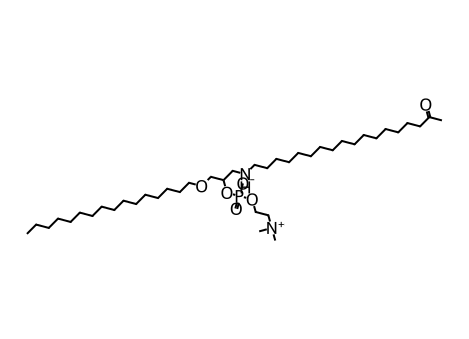 CCCCCCCCCCCCCCCCOCC(CNCCCCCCCCCCCCCCCCC(C)=O)OP(=O)([O-])OCC[N+](C)(C)C